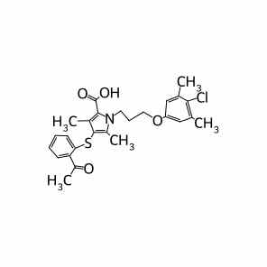 CC(=O)c1ccccc1Sc1c(C)c(C(=O)O)n(CCCOc2cc(C)c(Cl)c(C)c2)c1C